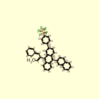 C/C=C(\C=C1\C=CC=CC1)c1c2ccccc2c(-c2ccc3ccccc3c2)c2ccc(-c3ccc(S(F)(F)(F)(F)F)cc3)cc12